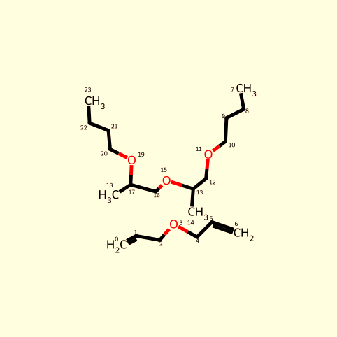 C=CCOCC=C.CCCCOCC(C)OCC(C)OCCCC